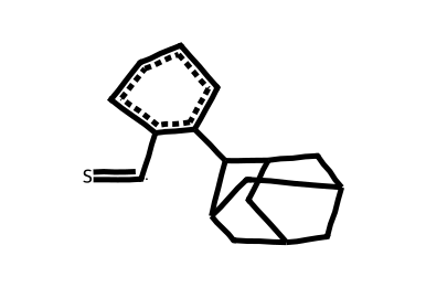 S=[C]c1ccccc1C1C2CC3CC(C2)CC1C3